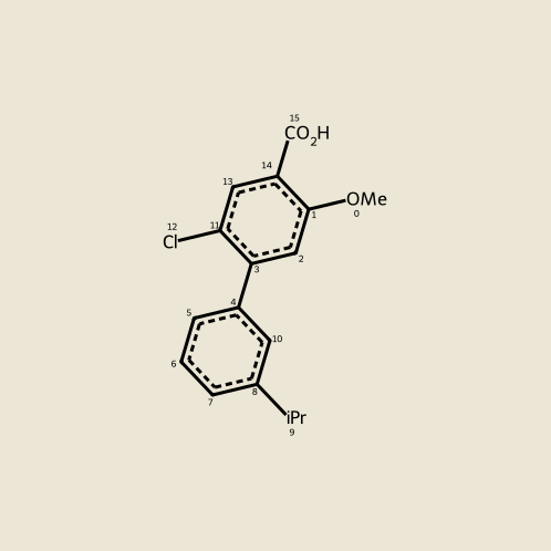 COc1cc(-c2cccc(C(C)C)c2)c(Cl)cc1C(=O)O